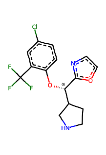 FC(F)(F)c1cc(Cl)ccc1O[C@H](c1ncco1)C1CCNC1